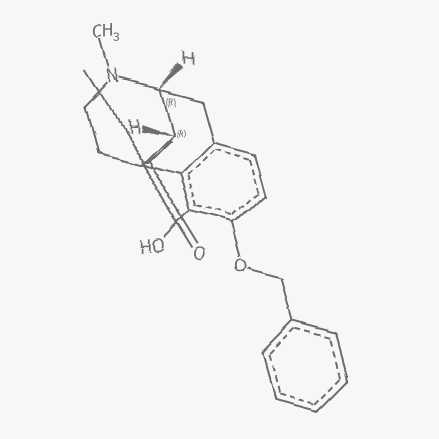 CN1CCC23CC(=O)CC[C@H]2[C@H]1Cc1ccc(OCc2ccccc2)c(O)c13